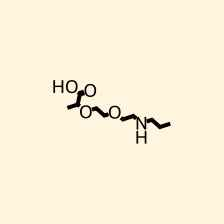 CCCNCCOCCOC(C)C(=O)O